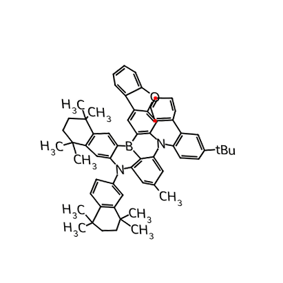 Cc1cc2c3c(c1)N(c1ccc(C(C)(C)C)cc1-c1ccccc1)c1cc4oc5ccccc5c4cc1B3c1cc3c(cc1N2c1ccc2c(c1)C(C)(C)CCC2(C)C)C(C)(C)CCC3(C)C